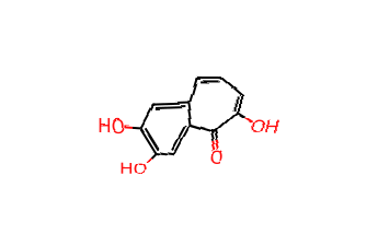 O=c1c(O)cccc2cc(O)c(O)cc12